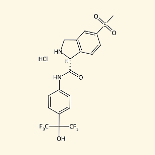 CS(=O)(=O)c1ccc2c(c1)CN[C@H]2C(=O)Nc1ccc(C(O)(C(F)(F)F)C(F)(F)F)cc1.Cl